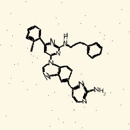 Cc1ccccc1-c1cc(-n2cnc3cc(-c4ccnc(N)n4)ccc32)nc(NCCc2ccccc2)n1